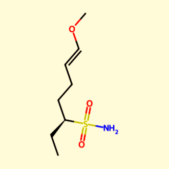 CC[C@@H](CCC=COC)S(N)(=O)=O